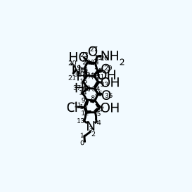 CCCN1Cc2c(O)c3c(c(Cl)c2C1)C[C@H]1C[C@H]2[C@H](N(C)C)C(O)=C(C(N)=O)C(=O)[C@@]2(O)C(O)=C1C3=O